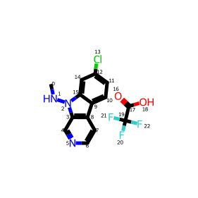 CNn1c2cnccc2c2ccc(Cl)cc21.O=C(O)C(F)(F)F